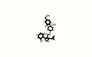 OCc1ccc([C@]2(O)CC[C@H](OCc3c(-c4c(Cl)cccc4Cl)noc3C3CC3)CC2)c(F)c1